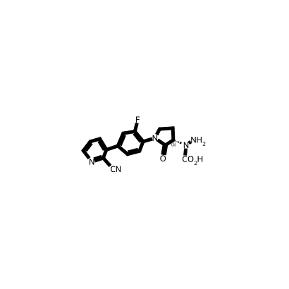 N#Cc1ncccc1-c1ccc(N2CC[C@H](N(N)C(=O)O)C2=O)c(F)c1